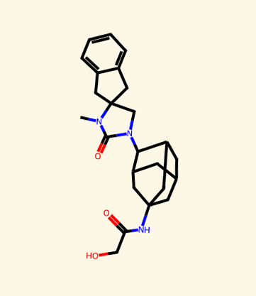 CN1C(=O)N(C2C3CC4CC2CC(NC(=O)CO)(C4)C3)CC12Cc1ccccc1C2